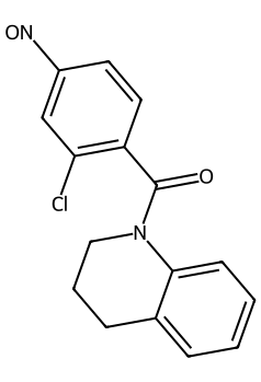 O=Nc1ccc(C(=O)N2CCCc3ccccc32)c(Cl)c1